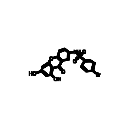 O=c1c2cc(NS(=O)(=O)c3ccc(Br)cc3)ccc2oc2cc(O)cc(O)c12